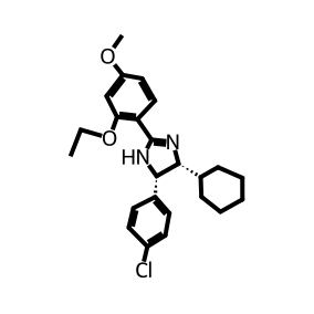 CCOc1cc(OC)ccc1C1=N[C@H](C2CCCCC2)[C@H](c2ccc(Cl)cc2)N1